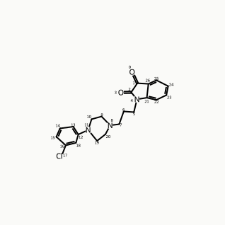 O=C1C(=O)N(CCCN2CCN(c3cccc(Cl)c3)CC2)c2ccccc21